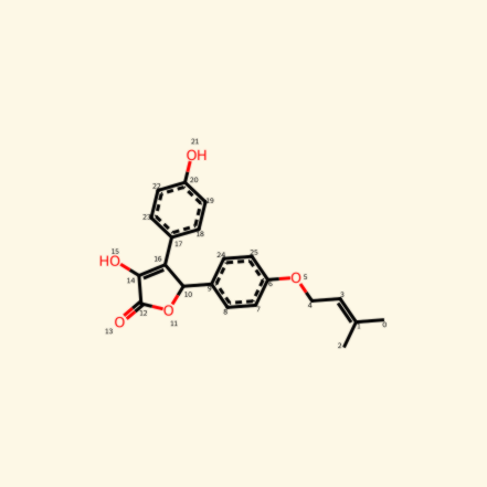 CC(C)=CCOc1ccc(C2OC(=O)C(O)=C2c2ccc(O)cc2)cc1